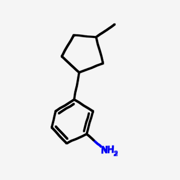 CC1CCC(c2cccc(N)c2)C1